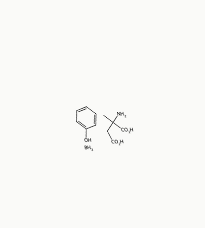 B.CC(N)(CC(=O)O)C(=O)O.Oc1ccccc1